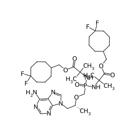 C[C@H](Cn1cnc2c(N)ncnc21)OCP(=O)(NC(C)(C)C(=O)OCC1CCCC(F)(F)CCC1)NC(C)(C)C(=O)OCC1CCCC(F)(F)CCC1